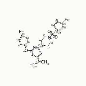 CN(C)c1cc(Oc2ccc(F)cc2)nc(N2CCN(S(=O)(=O)c3ccc(F)cc3)CC2)n1